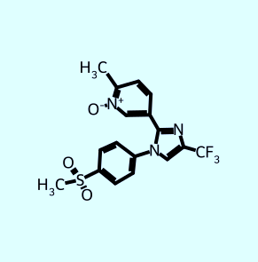 Cc1ccc(-c2nc(C(F)(F)F)cn2-c2ccc(S(C)(=O)=O)cc2)c[n+]1[O-]